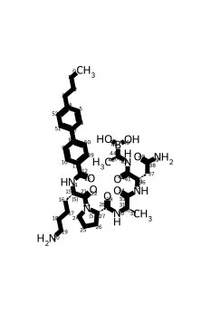 CCCCc1ccc(-c2ccc(C(=O)N[C@@H](CCCCN)C(=O)N3CCC[C@H]3C(=O)N[C@@H](C)C(=O)N[C@@H](CC(N)=O)C(=O)N[C@@H](C)B(O)O)cc2)cc1